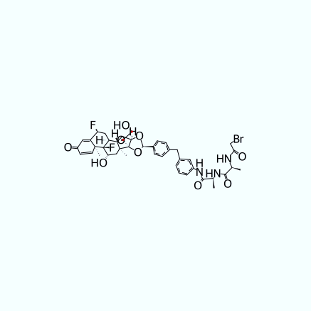 C[C@H](NC(=O)CBr)C(=O)N[C@@H](C)C(=O)Nc1cccc(Cc2ccc([C@@H]3O[C@@H]4C[C@H]5[C@@H]6C[C@H](F)C7=CC(=O)C=C[C@]7(C)[C@@]6(F)[C@@H](O)C[C@]5(C)[C@]4(C(=O)CO)O3)cc2)c1